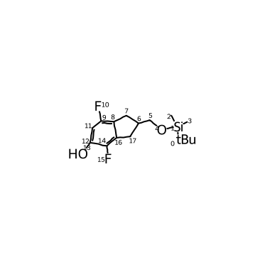 CC(C)(C)[Si](C)(C)OCC1Cc2c(F)cc(O)c(F)c2C1